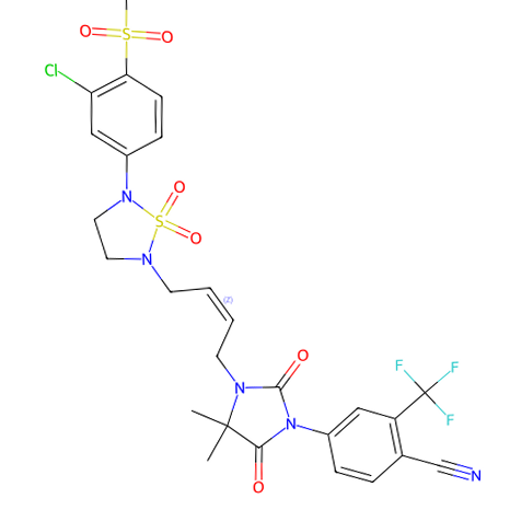 CC1(C)C(=O)N(c2ccc(C#N)c(C(F)(F)F)c2)C(=O)N1C/C=C\CN1CCN(c2ccc(S(C)(=O)=O)c(Cl)c2)S1(=O)=O